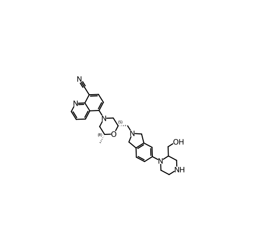 C[C@@H]1CN(c2ccc(C#N)c3ncccc23)C[C@H](CN2Cc3ccc(N4CCNCC4CO)cc3C2)O1